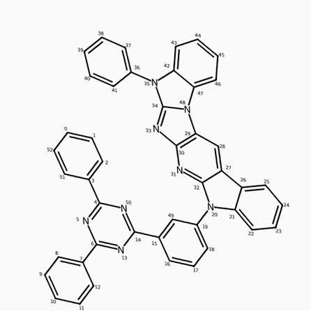 c1ccc(-c2nc(-c3ccccc3)nc(-c3cccc(-n4c5ccccc5c5cc6c(nc54)nc4n(-c5ccccc5)c5ccccc5n64)c3)n2)cc1